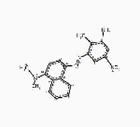 Cc1c(N)cc([N+](=O)[O-])cc1/N=N/c1ccc(N(C)C)c2ccccc12